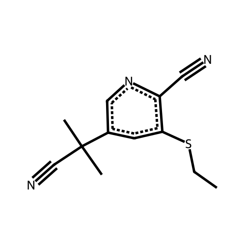 CCSc1cc(C(C)(C)C#N)cnc1C#N